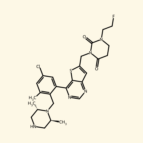 Cc1cc(Cl)cc(-c2ncnc3cc(CN4C(=O)CCN(CCF)C4=O)sc23)c1CN1[C@@H](C)CNC[C@@H]1C